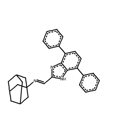 C(=N\C12CC3CC(CC(C3)C1)C2)/c1nc2c(-c3ccccc3)ccc(-c3ccccc3)c2[nH]1